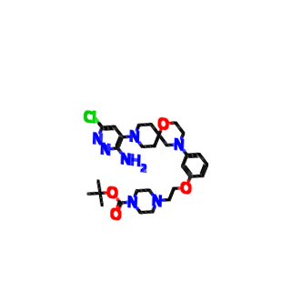 CC(C)(C)OC(=O)N1CCN(CCOc2cccc(N3CCOC4(CCN(c5cc(Cl)nnc5N)CC4)C3)c2)CC1